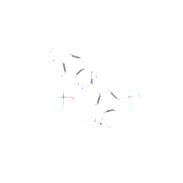 O=[N+]([O-])c1ccc2nc(-c3cc(C(F)(F)F)cc(C(F)(F)F)c3)n(OC(F)(F)F)c2c1